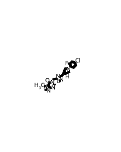 Cn1cnc2ncn(Cc3nc(C4C5CN(c6ccc(Cl)cc6F)C[C@@H]54)no3)c(=O)c21